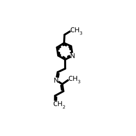 C=C/C=C(C)\N=C/Cc1ccc(CC)cn1